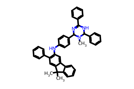 CN1C(c2ccc(Nc3cc4c(cc3-c3ccccc3)C(C)(C)c3ccccc3-4)cc2)N=C(c2ccccc2)NC1c1ccccc1